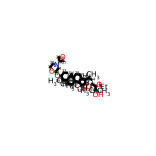 CCO[C@@H]([C@H]1C[C@@H](C)[C@H]2[C@H](O1)[C@H](O)[C@@]1(C)[C@@H]3CC[C@H]4C(C)(C)[C@@H](O[C@H]5CN(C6COC6)CCO5)CC[C@@]45C[C@@]35CC[C@]21C)C(C)(C)O